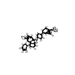 CC(C)(C)c1ccc(-c2ccc(-n3c4ccc(Cl)cc4c4c(-c5ccccc5)cccc43)cc2)cc1